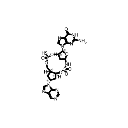 Nc1nc2c(ncn2[C@@H]2OC3C[C@H]2OP(=O)(S)OC[C@H]2C[C@@H](n4cnc5cncnc54)C[C@@H]2OS(=O)(=O)N3)c(=O)[nH]1